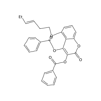 CCC=CCCOc1cccc2oc(=O)c(OC(=O)c3ccccc3)c(OC(=O)c3ccccc3)c12